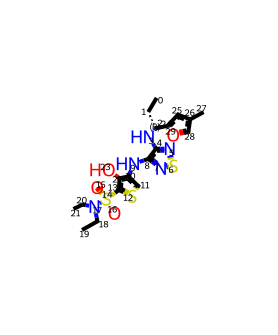 CC[C@@H](Nc1nsnc1Nc1csc(S(=O)(=O)N(CC)CC)c1O)c1cc(C)co1